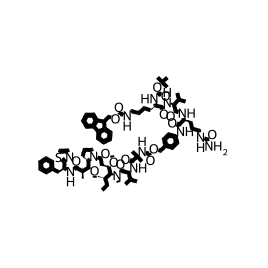 CC[C@H](C)[C@@H]([C@@H](CC(=O)N1CCC[C@H]1[C@H](OC)[C@@H](C)C(=O)N[C@@H](Cc1ccccc1)c1nccs1)OC)N(C)C(=O)[C@@H](NC(=O)C(C)(C)NC(=O)OCc1ccc(NC(=O)[C@H](CCCNC(N)=O)NC(=O)[C@@H](NC(=O)[C@H](CCCCNC(=O)OCC2c3ccccc3-c3ccccc32)NC(=O)OC(C)(C)C)C(C)C)cc1)C(C)C